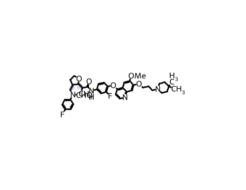 COc1cc2c(Oc3ccc(NC(=O)/C(C)=C4\OCC\C4=C\N(C=O)c4ccc(F)cc4)cc3F)ccnc2cc1OCCCN1CCC(C)(C)CC1